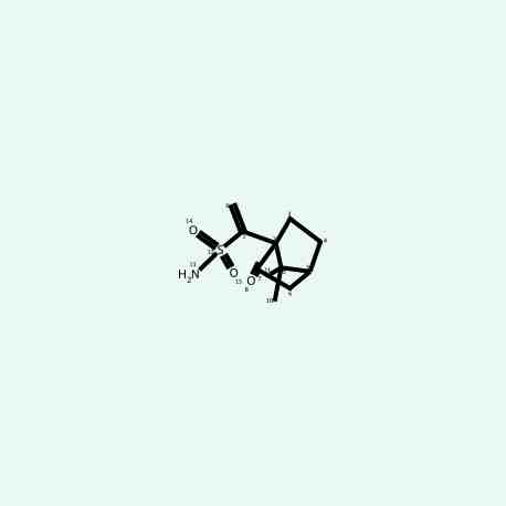 C=C(C12CCC(CC1=O)C2(C)C)S(N)(=O)=O